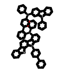 c1ccc(-c2ccc(-n3c4cccc(N(c5cccnc5)c5ccccc5-c5ccc(N(c6ccccc6)c6ccc7c8ccccc8n(-c8ccccc8)c7c6)cc5)c4c4ccc5c6ccccc6oc5c43)cc2)cc1